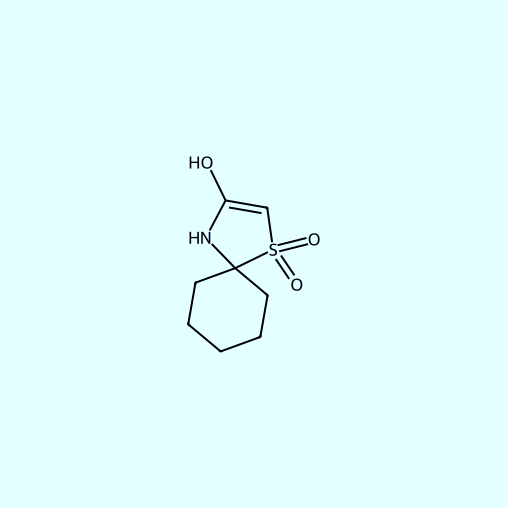 O=S1(=O)C=C(O)NC12CCCCC2